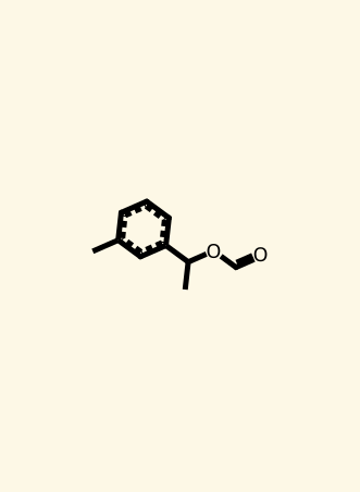 Cc1cccc(C(C)OC=O)c1